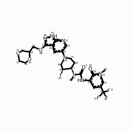 CN(C(=O)Nc1cc(C(F)(F)F)cn(C)c1=O)[C@@H]1CCN(c2cnc3[nH]nc(OCC4COCCO4)c3c2)C[C@@H]1F